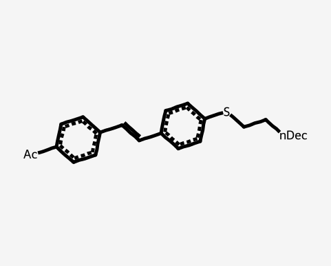 CCCCCCCCCCCCSc1ccc(C=Cc2ccc(C(C)=O)cc2)cc1